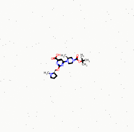 C[C@H]1CN(C(=O)OC(C)(C)C)CCN1c1cc(C(=O)O)nc(OC[C@@H]2CCCN2C)n1